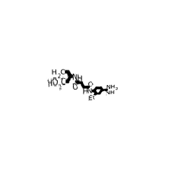 C=CC(CC(=O)O)NC(=O)CCC(=O)Nc1ccc(C(=N)N)cc1CC